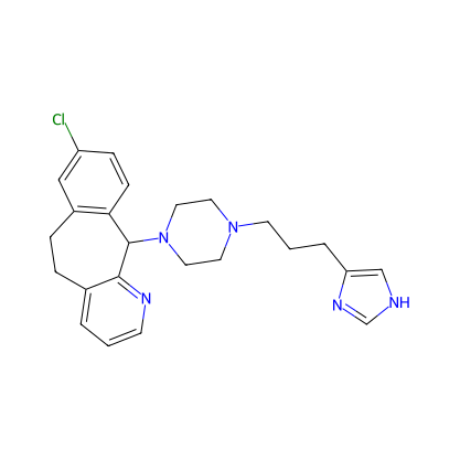 Clc1ccc2c(c1)CCc1cccnc1C2N1CCN(CCCc2c[nH]cn2)CC1